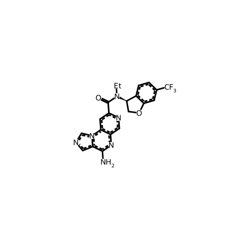 CCN(C(=O)c1cc2c(cn1)nc(N)c1cncn12)[C@@H]1COc2cc(C(F)(F)F)ccc21